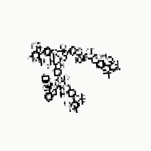 Cc1cc(C(F)(F)F)c(-c2ccc(CC(NC(=O)C3=Nc4ccc(OC(=O)C(Cc5ccc(-c6c(C(F)(F)F)cc(C)n(C)c6=O)cc5)NC(=O)C5=Nc6cc(OC(=O)C(Cc7ccc(-c8c(C(F)(F)F)cc(C)n(C)c8=O)cc7)NC(=O)c7cc8ccccc8n7S(=O)(=O)c7ccccc7)ccc6C5N)cc4C3O)C(=O)O)cc2)c(=O)n1C